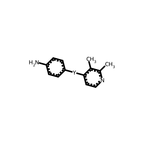 Cc1ncc[c]([Y][c]2ccc(N)cc2)c1C